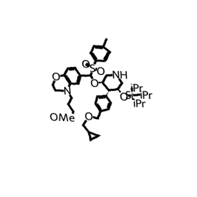 COCCCN1CCOc2ccc(C(O[C@H]3CNC[C@@H](O[Si](C(C)C)(C(C)C)C(C)C)[C@@H]3c3ccc(COCC4CC4)cc3)S(=O)(=O)c3ccc(C)cc3)cc21